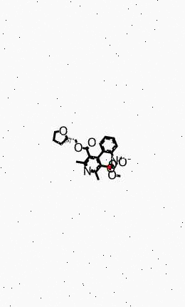 COC(=O)c1c(C)nc(C)c(C(=O)OC[C@@H]2CCCO2)c1-c1ccccc1[N+](=O)[O-]